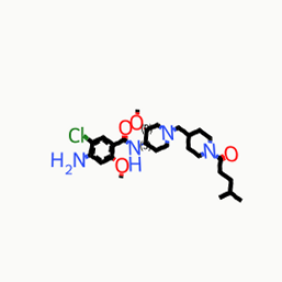 COc1cc(N)c(Cl)cc1C(=O)N[C@H]1CCN(CC2CCN(C(=O)CCC(C)C)CC2)C[C@H]1OC